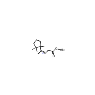 C/C(=N/CC(=O)OC(C)(C)C)C1(C)CCCC1(C)C